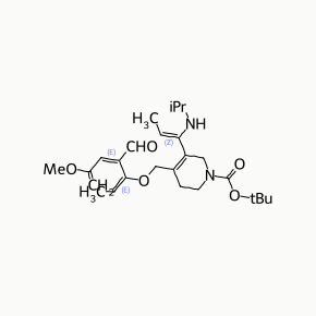 C=C(/C=C(C=O)\C(=C/C)OCC1=C(/C(=C/C)NC(C)C)CN(C(=O)OC(C)(C)C)CC1)OC